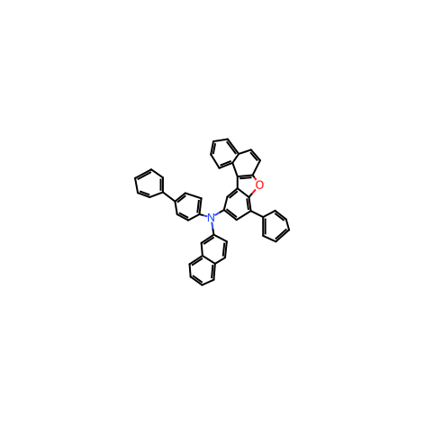 c1ccc(-c2ccc(N(c3ccc4ccccc4c3)c3cc(-c4ccccc4)c4oc5ccc6ccccc6c5c4c3)cc2)cc1